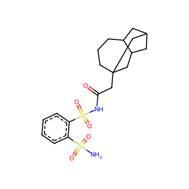 NS(=O)(=O)c1ccccc1S(=O)(=O)NC(=O)CC12CCCC3CC(CC3C1)C2